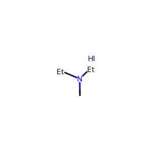 CCN(C)CC.I